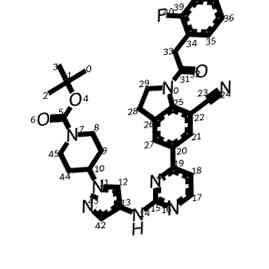 CC(C)(C)OC(=O)N1CCC(n2cc(Nc3nccc(-c4cc(C#N)c5c(c4)CCN5C(=O)Cc4ccccc4F)n3)cn2)CC1